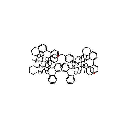 O=P1(C2(O)N(c3ccc(Cc4ccc(N5C(O)(P6(=O)Oc7ccccc7-c7ccccc76)N(C6CCCCC6)C5(NC5CCCCC5)P5(=O)Oc6ccccc6-c6ccccc65)cc4)cc3)C(NC3CCCCC3)(P3(=O)Oc4ccccc4-c4ccccc43)N2C2CCCCC2)Oc2ccccc2-c2ccccc21